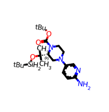 CC(C)(C)OC(=O)N1CCN(c2ccc(N)nc2)C[C@@H]1C(C)(C)O[SiH2]C(C)(C)C